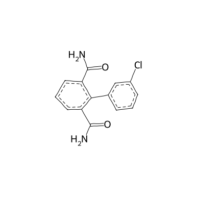 NC(=O)c1cccc(C(N)=O)c1-c1cccc(Cl)c1